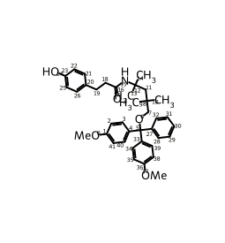 COc1ccc(C(OCC(C)(C)CC(C)(C)NC(=O)CCc2ccc(O)cc2)(c2ccccc2)c2ccc(OC)cc2)cc1